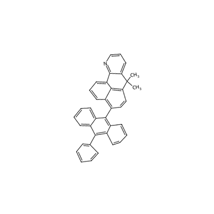 CC1(C)c2cccnc2-c2cccc3c(-c4c5ccccc5c(-c5ccccc5)c5ccccc45)ccc1c23